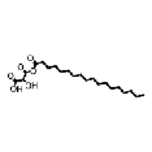 CCCCCCCCCCCCCCCCCC(=O)OC(=O)C(O)C(=O)O